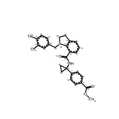 COC(=O)c1ccc(C2(NC(=O)c3cccc4c3N(Cc3ccc(Cl)c(Cl)c3)CC4)CC2)cc1